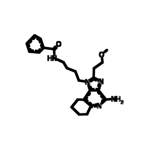 COCCc1nc2c(N)nc3c(c2n1CCCCNC(=O)c1ccccc1)CCCC3